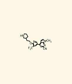 Cn1ccc2c(-c3cnc(OCCC4CCCNC4)c(C(F)(F)F)c3)nc(C#N)nc21